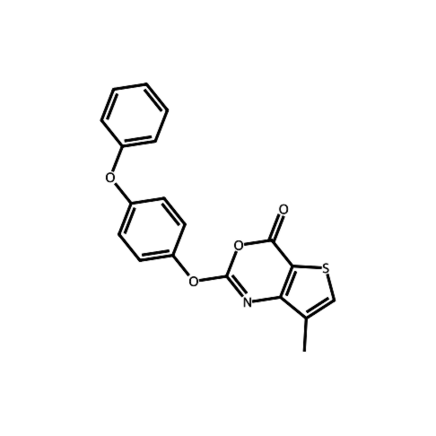 Cc1csc2c(=O)oc(Oc3ccc(Oc4ccccc4)cc3)nc12